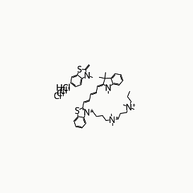 C=C1Sc2ccccc2N1C.CCC[N+](C)(C)CCC[N+](C)(C)CCCC[n+]1c(C=CC=CC=C2N(C)c3ccccc3C2(C)C)sc2ccccc21.Cl.[Cl-].[Cl-].[Cl-]